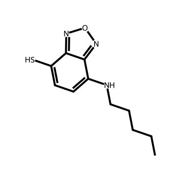 CCCCCNc1ccc(S)c2nonc12